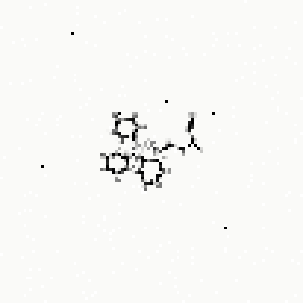 CC(C#N)CC=NO[Si](c1ccccc1)(c1ccccc1)c1ccccc1